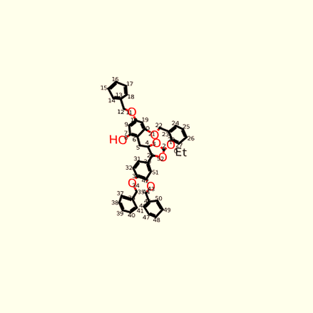 CCOC1OC(Cc2c(O)cc(OCc3ccccc3)cc2OCc2ccccc2)C(c2ccc(OCc3ccccc3)c(OCc3ccccc3)c2)O1